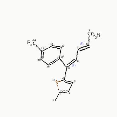 Cc1ccc(/C(=C/C=C/C(=O)O)c2ccc(C(F)(F)F)cc2)s1